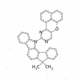 CC1(C)c2ccccc2-c2c1ccc1c3ccccc3n(-c3ncc4c(n3)-c3cccc5cccc(c35)O4)c21